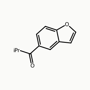 CC(C)C(=O)c1ccc2occc2c1